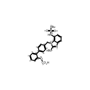 CCCCc1nc2cccc(NS(=O)(=O)CCCC)c2n1Cc1ccc(-c2ccccc2OC(=O)O)cc1